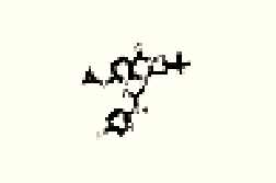 CC(C)(C)C1=NN2C(=O)c3ccc(OC4CC4)nc3N(CC(=O)Nc3ccc(F)cn3)C2C1